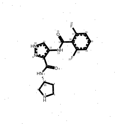 O=C(N[C@@H]1CCNC1)c1n[nH]cc1NC(=O)c1c(F)cccc1F